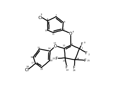 FC1(F)C(Oc2ccc(Cl)cc2)=C(Oc2ccc(Cl)cc2)C(F)(F)C1(F)F